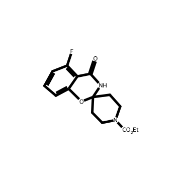 CCOC(=O)N1CCC2(CC1)NC(=O)c1c(F)cccc1O2